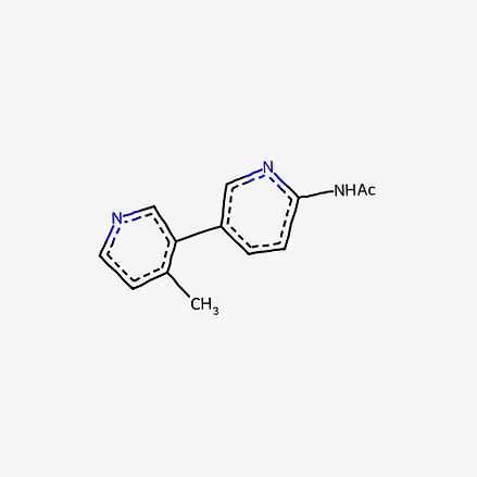 CC(=O)Nc1ccc(-c2cnccc2C)cn1